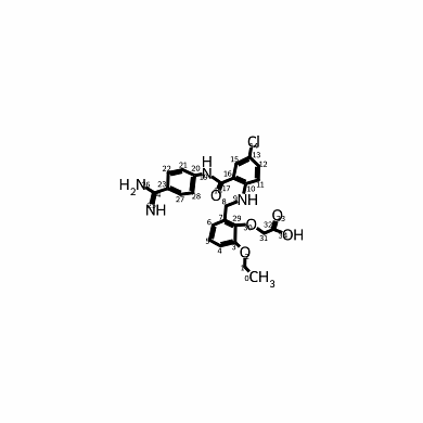 CCOc1cccc(CNc2ccc(Cl)cc2C(=O)Nc2ccc(C(=N)N)cc2)c1OCC(=O)O